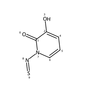 O=c1c(O)cccn1N=S